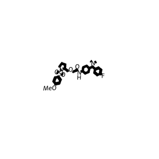 COc1ccc(S(=O)(=O)N2CCCC2COCC(=O)NC2CCC(C(c3ccc(F)cc3)N(C)C)CC2)cc1